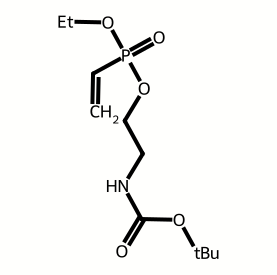 C=CP(=O)(OCC)OCCNC(=O)OC(C)(C)C